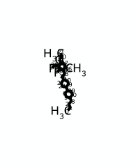 CCCCC1CCC(C2CCC(CCc3c(C)cc(OCC)c(CF)c3F)CC2)CC1